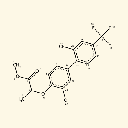 COC(=O)C(C)Oc1ccc(-c2ncc(C(F)(F)F)cc2Cl)cc1O